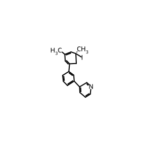 CC1=C[C@@](C)(I)CC(c2cccc(-c3cccnc3)c2)=C1